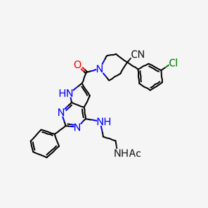 CC(=O)NCCNc1nc(-c2ccccc2)nc2[nH]c(C(=O)N3CCC(C#N)(c4cccc(Cl)c4)CC3)cc12